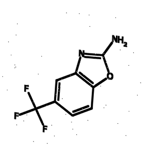 Nc1nc2cc(C(F)(F)F)ccc2o1